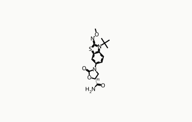 CON=c1sc2cc(N3C[C@H](C(N)=O)OC3=O)ccc2n1C(C)(C)C